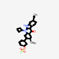 C#Cc1ccc2c(c1)[nH]c1c2c(=O)c2cc(OCC(C)C)c(-c3cccc(OS(=O)(=O)F)c3)cc2n1C1CCC1